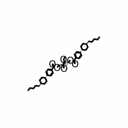 CCCCC[C@H]1CC[C@H](c2ccc(C(=O)OC[C@@H](OC)[C@@H](COC(=O)c3ccc([C@H]4CC[C@H](CCCCC)CC4)cc3)OC)cc2)CC1